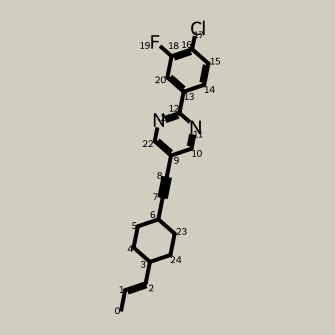 CC=CC1CCC(C#Cc2cnc(-c3ccc(Cl)c(F)c3)nc2)CC1